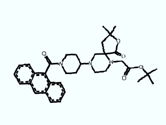 CC(C)(C)OC(=O)CN1CCN(C2CCN(C(=O)c3c4ccccc4cc4ccccc34)CC2)CC12CC(C)(C)OC2=O